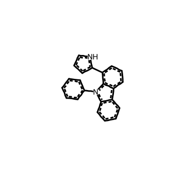 c1ccc(-n2c3ccccc3c3cccc(-c4ccc[nH]4)c32)cc1